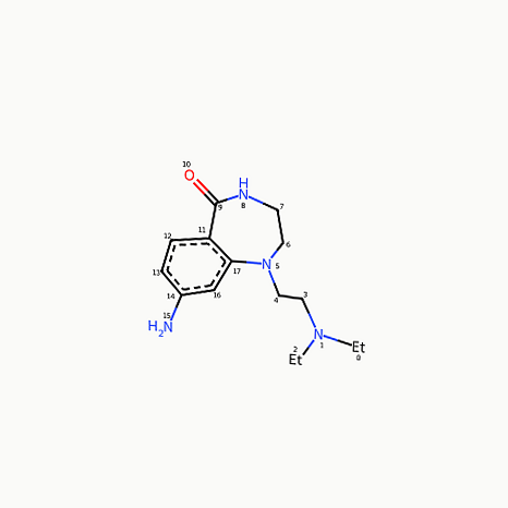 CCN(CC)CCN1CCNC(=O)c2ccc(N)cc21